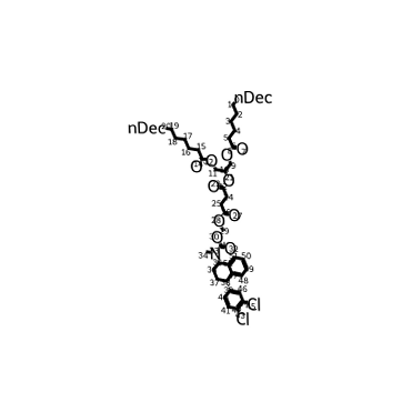 CCCCCCCCCCCCCCCC(=O)OCC(COC(=O)CCCCCCCCCCCCCCC)OC(=O)CCC(=O)OCOC(=O)N(C)[C@H]1CC[C@@H](c2ccc(Cl)c(Cl)c2)c2ccccc21